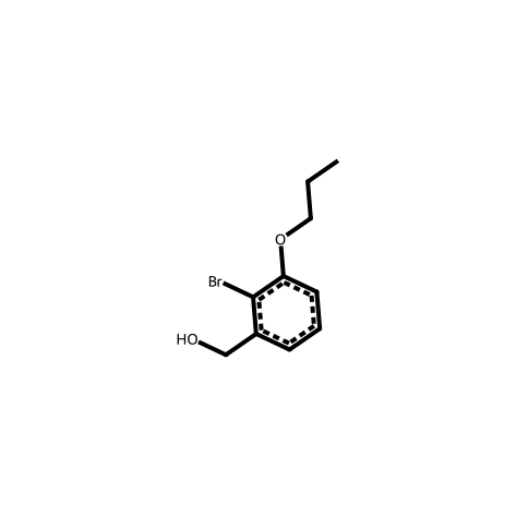 CCCOc1cccc(CO)c1Br